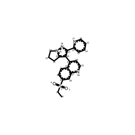 CCS(=O)(=O)c1ccc2c(-c3c(-c4ccccn4)nn4c3CCC4)ccnc2c1